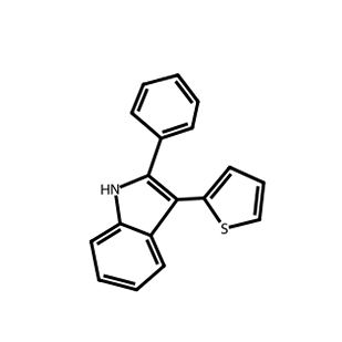 c1ccc(-c2[nH]c3ccccc3c2-c2cccs2)cc1